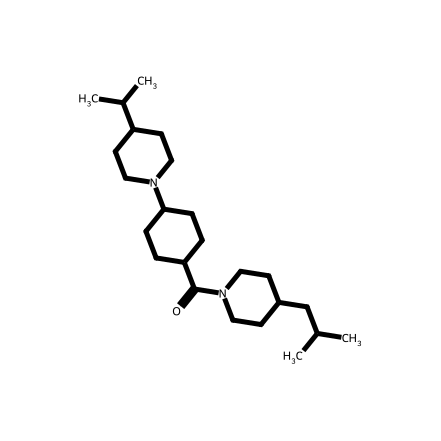 CC(C)CC1CCN(C(=O)C2CCC(N3CCC(C(C)C)CC3)CC2)CC1